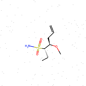 C=CC[C@@H](OC)[C@H](CC)S(N)(=O)=O